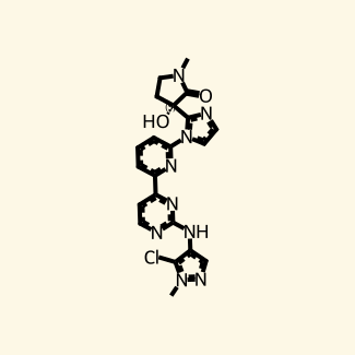 CN1CC[C@](O)(c2nccn2-c2cccc(-c3ccnc(Nc4cnn(C)c4Cl)n3)n2)C1=O